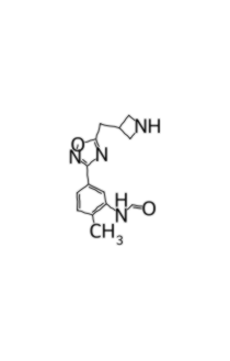 Cc1ccc(-c2noc(CC3CNC3)n2)cc1NC=O